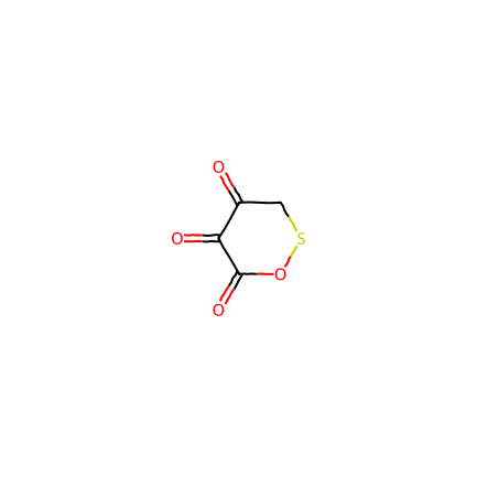 O=C1CSOC(=O)C1=O